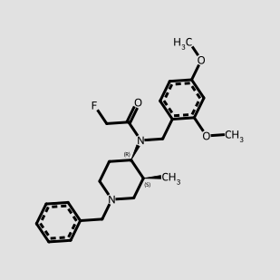 COc1ccc(CN(C(=O)CF)[C@@H]2CCN(Cc3ccccc3)C[C@@H]2C)c(OC)c1